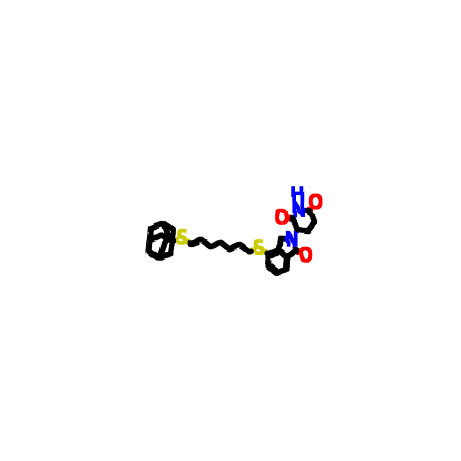 O=C1CCC(N2Cc3c(SCCCCCCCSC45CC6CC(CC(C6)C4)C5)cccc3C2=O)C(=O)N1